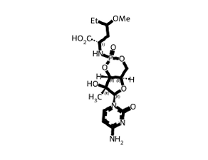 CCC(C[C@H](NP1(=O)OC[C@H]2O[C@@H](n3ccc(N)nc3=O)[C@](C)(O)[C@@H]2O1)C(=O)O)OC